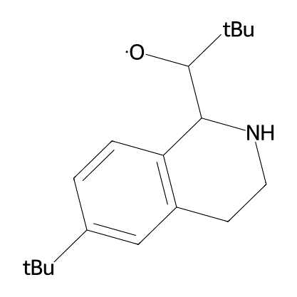 CC(C)(C)c1ccc2c(c1)CCNC2C([O])C(C)(C)C